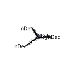 CCCCCCCCCCCCCCCCCCCCCC[N+](CCCCCCCCCCCCCCCCCC)(CCCCCCCCCCCCCCCCCC)C(=O)OCC